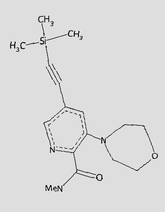 CNC(=O)c1ncc(C#C[Si](C)(C)C)cc1N1CCOCC1